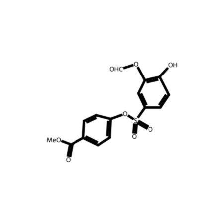 COC(=O)c1ccc(OS(=O)(=O)c2ccc(O)c(OC=O)c2)cc1